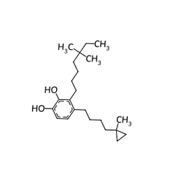 CCC(C)(C)CCCCc1c(CCCCC2(C)CC2)ccc(O)c1O